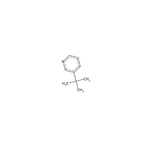 CC(C)(C)c1[c]nc[c]c1